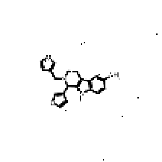 Nc1ccc2[nH]c3c(c2c1)CCN(Cc1ccoc1)C3c1ccoc1